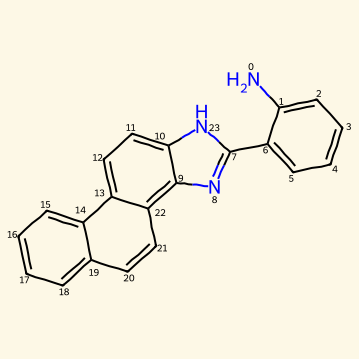 Nc1ccccc1-c1nc2c(ccc3c4ccccc4ccc32)[nH]1